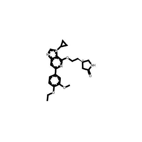 CCOc1ccc(-c2cc3ncn(C4CC4)c3c(OCC[C@H]3CNC(=O)C3)n2)cc1OC